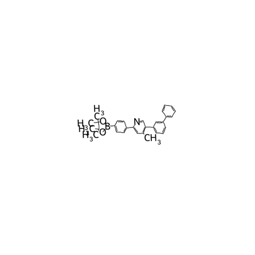 Cc1cc(-c2ccc(B3OC(C)(C)C(C)(C)O3)cc2)ncc1-c1cccc(-c2ccccc2)c1